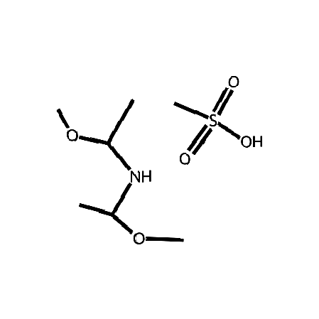 COC(C)NC(C)OC.CS(=O)(=O)O